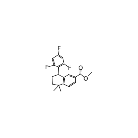 COC(=O)c1ccc2c(c1)C(c1c(F)cc(F)cc1F)CCC2(C)C